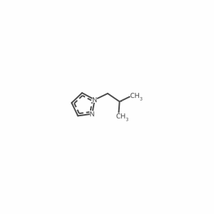 C[C](C)Cn1cccn1